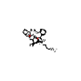 O=C(NCCS(=O)(=O)O)c1cc(F)c2nc(N3C4CCC3CC(OCc3c(-c5ccccc5OC(F)(F)F)noc3C3CC3)C4)sc2c1